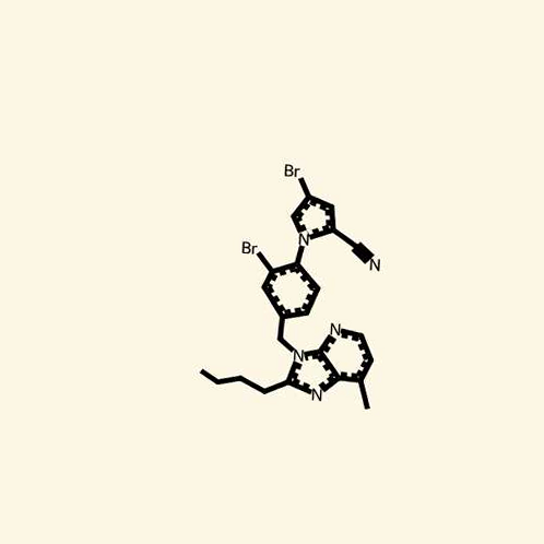 CCCCc1nc2c(C)ccnc2n1Cc1ccc(-n2cc(Br)cc2C#N)c(Br)c1